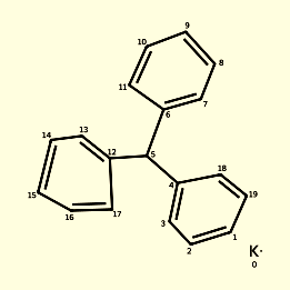 [K].c1ccc(C(c2ccccc2)c2ccccc2)cc1